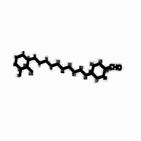 CC1CCCC(CCCCCCCCCCC2CCC(C=O)CC2)C1C